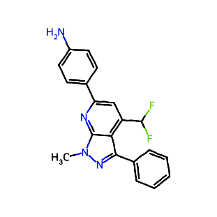 Cn1nc(-c2ccccc2)c2c(C(F)F)cc(-c3ccc(N)cc3)nc21